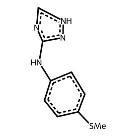 CSc1ccc(Nc2nc[nH]n2)cc1